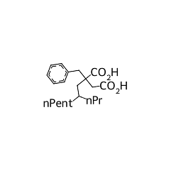 CCCCCC(CCC)CC(CC(=O)O)(Cc1ccccc1)C(=O)O